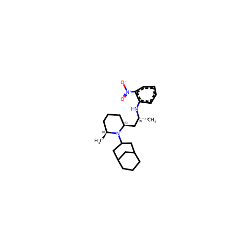 C[C@H](C[C@@H]1CCC[C@H](C)N1C1CC2CCCC(C2)C1)Nc1ccccc1[N+](=O)[O-]